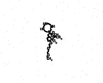 CCOCCOCCOc1ccc(C[C@H](C(=O)OC(C)(C)C)N2CCNCCNCCNCC2)cn1